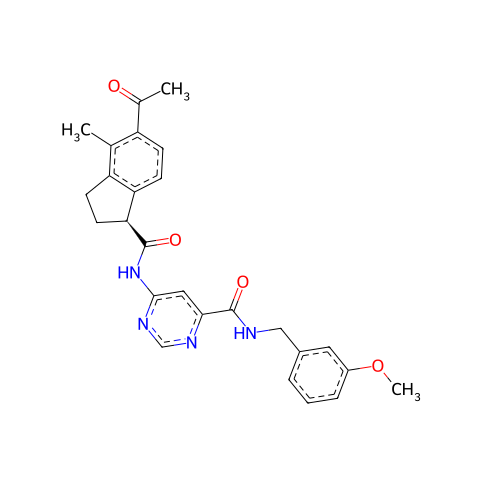 COc1cccc(CNC(=O)c2cc(NC(=O)[C@H]3CCc4c3ccc(C(C)=O)c4C)ncn2)c1